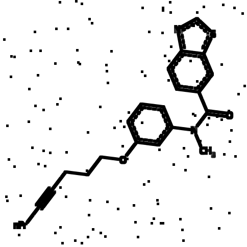 CCCC#CCCCOc1cccc(N(C)C(=O)c2ccc3ncsc3c2)c1